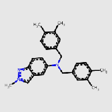 Cc1ccc(CN(Cc2ccc(C)c(C)c2)c2ccc3nn(C)cc3c2)cc1C